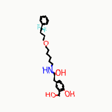 OCc1cc(CC(O)NCCCCCCOCCCC(F)(F)c2ccccc2)ccc1O